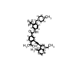 CCn1nc(C#Cc2cc(C(=O)Nc3ccc(CN4CCN(C)CC4)c(C(F)(F)F)c3)ccc2C(C)C)c2c(N)ncnc21